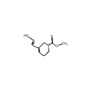 COC(=O)N1CCC=C(C=NO)C1